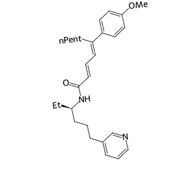 CCCCC/C(=C\C=C\C(=O)N[C@H](CC)CCCc1cccnc1)c1ccc(OC)cc1